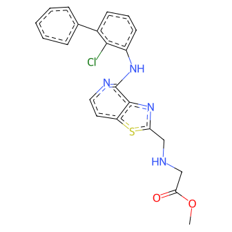 COC(=O)CNCc1nc2c(Nc3cccc(-c4ccccc4)c3Cl)nccc2s1